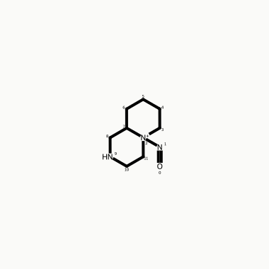 O=N[N+]12CCCCC1CNCC2